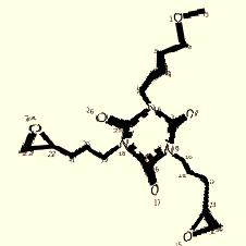 COCCCCn1c(=O)n(CCCC2CO2)c(=O)n(CCCC2CO2)c1=O